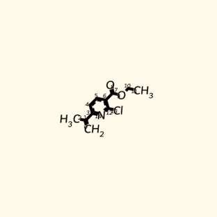 C=C(C)c1ccc(C(=O)OCC)c(Cl)n1